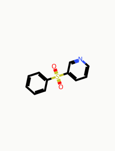 O=S(=O)(c1ccccc1)c1cccnc1